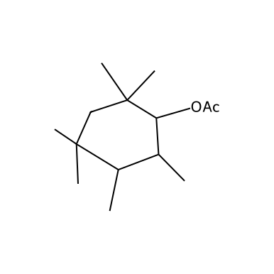 CC(=O)OC1C(C)C(C)C(C)(C)CC1(C)C